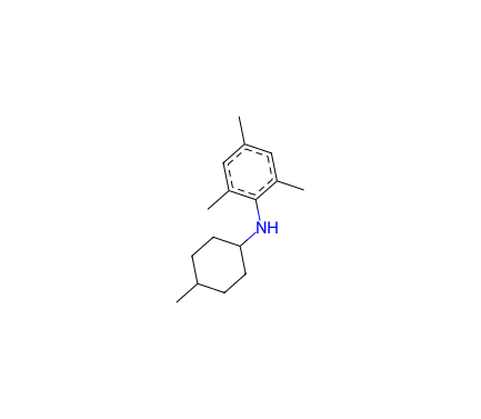 Cc1cc(C)c(NC2CCC(C)CC2)c(C)c1